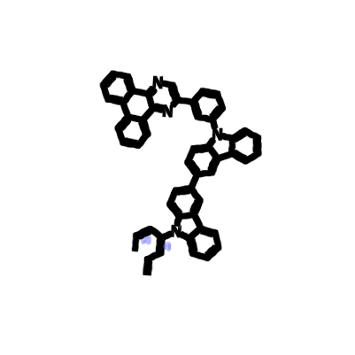 C=C/C=C(\C=C/C)n1c2ccccc2c2cc(-c3ccc4c(c3)c3ccccc3n4-c3cccc(-c4cnc5c6ccccc6c6ccccc6c5n4)c3)ccc21